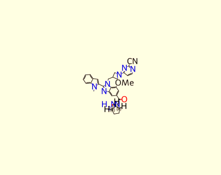 COc1cc(C(=O)N2C[C@H]3CC[C@@H]2[C@@H]3N)cc2nc(-c3cc4ccccc4n3C)n(CC3CN(c4ccnc(C#N)n4)C3)c12